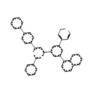 C1=CC(c2cc(-c3cc(-c4ccc(-c5ccccc5)cc4)nc(-c4ccccc4)n3)cc(-c3cccc4ccccc34)c2)=CCN1